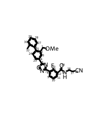 COCc1cc(-c2nc(-c3cccc(C(=O)NCCC#N)c3F)no2)ccc1-c1ccccc1C